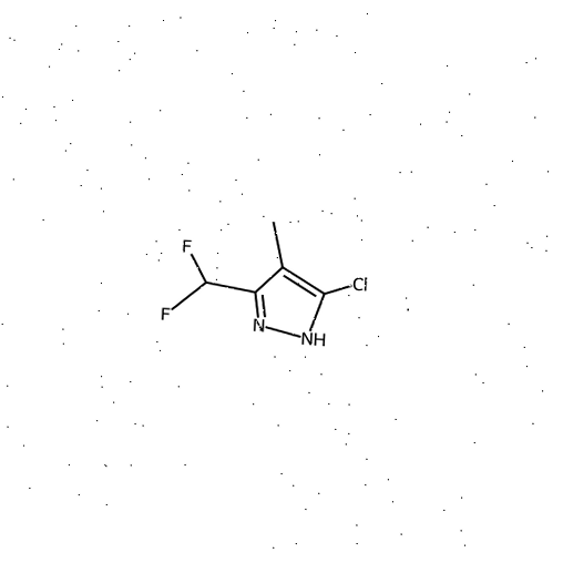 Cc1c(C(F)F)n[nH]c1Cl